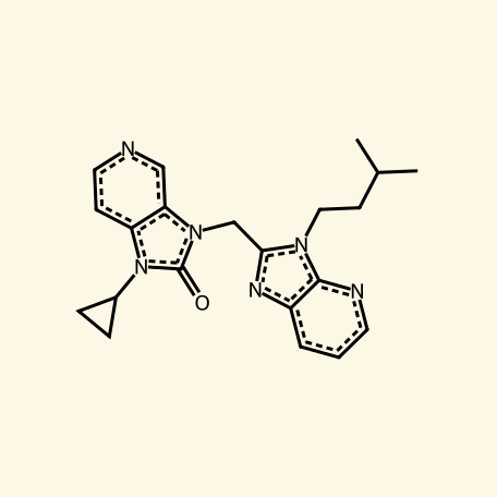 CC(C)CCn1c(Cn2c(=O)n(C3CC3)c3ccncc32)nc2cccnc21